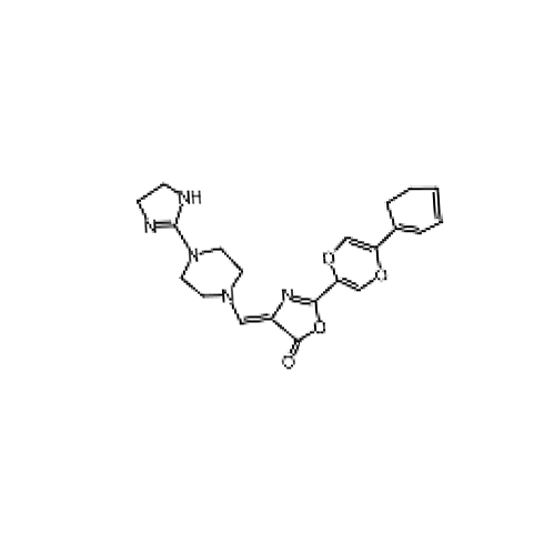 O=C1OC(C2=COC(C3=CC=CCC3)=CO2)=NC1=CN1CCN(C2=NCCN2)CC1